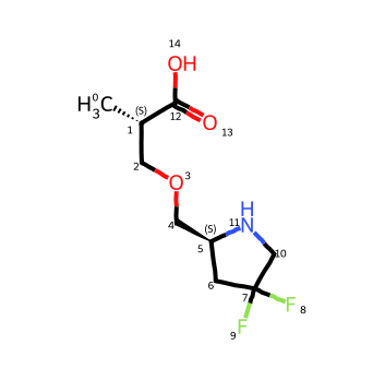 C[C@@H](COC[C@@H]1CC(F)(F)CN1)C(=O)O